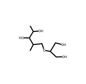 CC(O)C(O)C(C)COC(CO)CO